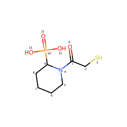 O=C(CS)N1CCCCC1P(=O)(O)O